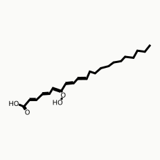 CCCCCCCCCCCC=CC=CC(=CC=CC=CC(=O)O)OO